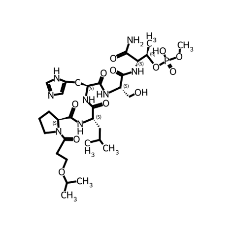 COP(=O)(O)O[C@H](C)[C@H](NC(=O)[C@H](CO)NC(=O)[C@H](Cc1cnc[nH]1)NC(=O)[C@H](CC(C)C)NC(=O)[C@@H]1CCCN1C(=O)CCOC(C)C)C(N)=O